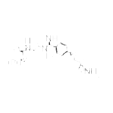 CC(C)(C)OC(=O)NCCNC(=N)c1ccc(OCCON)cc1